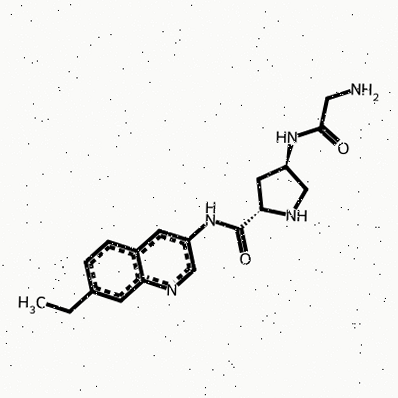 CCc1ccc2cc(NC(=O)[C@@H]3C[C@@H](NC(=O)CN)CN3)cnc2c1